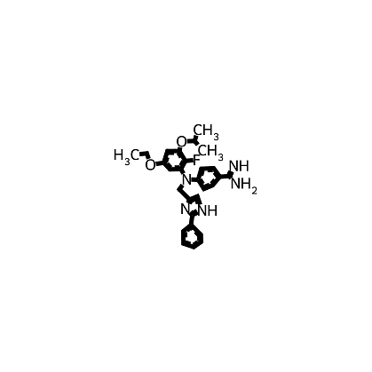 CCOc1cc(OC(C)C)c(F)c(N(Cc2c[nH]c(-c3ccccc3)n2)c2ccc(C(=N)N)cc2)c1